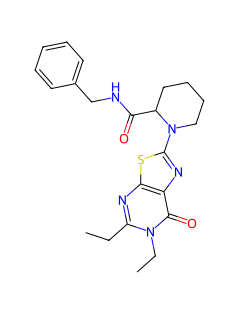 CCc1nc2sc(N3CCCCC3C(=O)NCc3ccccc3)nc2c(=O)n1CC